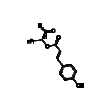 CCCC(OC(=O)/C=C/c1ccc(O)cc1)[SH](=O)=O